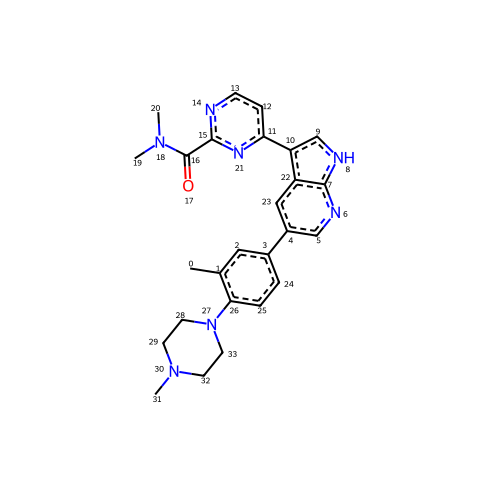 Cc1cc(-c2cnc3[nH]cc(-c4ccnc(C(=O)N(C)C)n4)c3c2)ccc1N1CCN(C)CC1